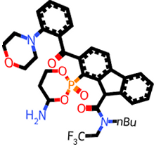 CCCCN(CC(F)(F)F)C(=O)C1c2ccccc2-c2ccc(C(=O)c3ccccc3N3CCOCC3)c(P3(=O)OCCC(N)O3)c21